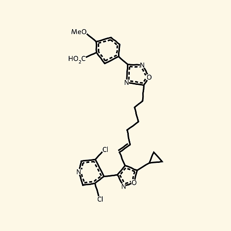 COc1ccc(-c2noc(CCCC/C=C/c3c(-c4c(Cl)cncc4Cl)noc3C3CC3)n2)cc1C(=O)O